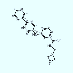 O=C(NCC1COC1)c1cccc(Nc2ccc(-c3ccccc3)nn2)c1